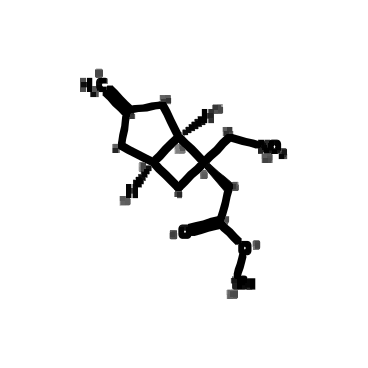 C=C1C[C@@H]2C[C@@](CC(=O)OC(C)(C)C)(C[N+](=O)[O-])[C@@H]2C1